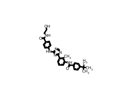 Cc1c(NC(=O)c2ccc(C(C)(C)C)cc2)cccc1-c1ncnc(Nc2ccc(C(=O)NCCO)cc2)n1